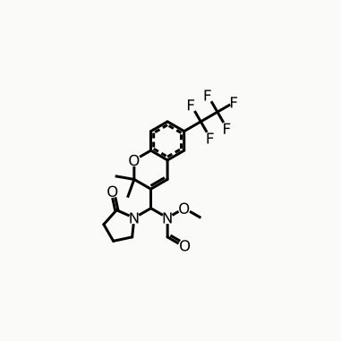 CON(C=O)C(C1=Cc2cc(C(F)(F)C(F)(F)F)ccc2OC1(C)C)N1CCCC1=O